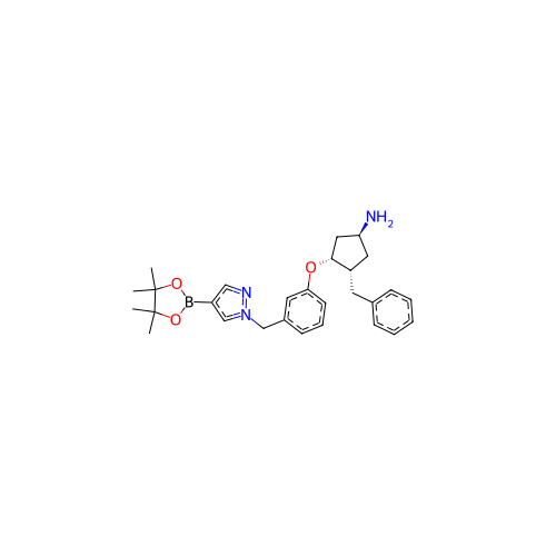 CC1(C)OB(c2cnn(Cc3cccc(O[C@@H]4C[C@@H](N)C[C@@H]4Cc4ccccc4)c3)c2)OC1(C)C